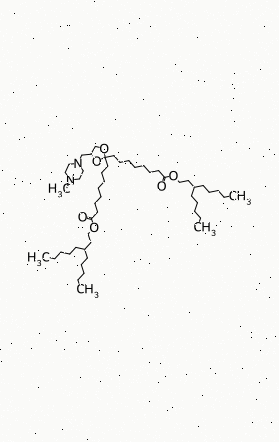 CCCCCC(CCCCC)CCOC(=O)CCCCCCCC1(CCCCCCCC(=O)OCCC(CCCCC)CCCCC)OCC(CN2CCN(C)CC2)O1